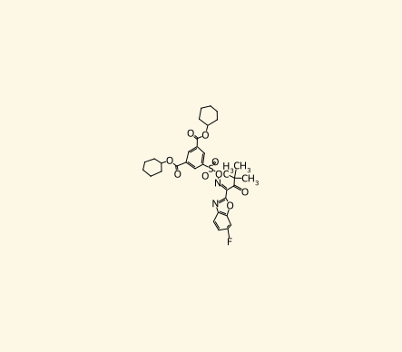 CC(C)(C)C(=O)/C(=N\OS(=O)(=O)c1cc(C(=O)OC2CCCCC2)cc(C(=O)OC2CCCCC2)c1)c1nc2ccc(F)cc2o1